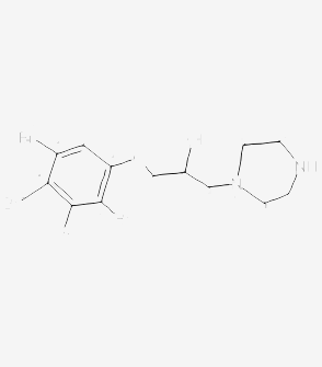 OC(COc1cc(Br)c(Br)c(Br)c1Br)CN1CCNCC1